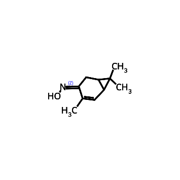 CC1=CC2C(C/C1=N/O)C2(C)C